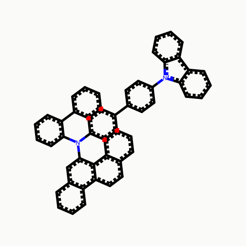 c1ccc(-c2ccccc2N(c2ccc(-c3ccc(-n4c5ccccc5c5ccccc54)cc3)cc2)c2cc3ccccc3c3ccc4ccccc4c23)cc1